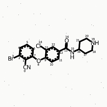 N#Cc1c(Br)cccc1Oc1ccc(C(=O)NC2CCNCC2)cc1Cl